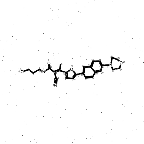 C/C(=C(/C#N)C(=O)NCCCO)c1ccc(-c2ccc3cc(N4CCOCC4)ccc3c2)o1